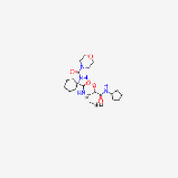 CCC(C)C[C@H](NC(=O)C1(NC(=O)N2CCOCC2)CCCCC1)C(=O)C(=O)NC1CCCC1